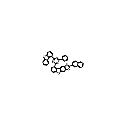 c1ccc(-c2nc(-c3cccc4oc5ccccc5c34)nc(-c3cccc4oc5cc6sc(-c7ccc8ccccc8c7)nc6cc5c34)n2)cc1